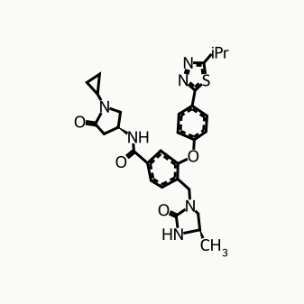 CC(C)c1nnc(-c2ccc(Oc3cc(C(=O)N[C@H]4CC(=O)N(C5CC5)C4)ccc3CN3C[C@@H](C)NC3=O)cc2)s1